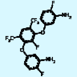 Nc1cc(Oc2c(C(F)(F)F)cc(C(F)(F)F)c(Oc3ccc(F)c(N)c3)c2F)ccc1F